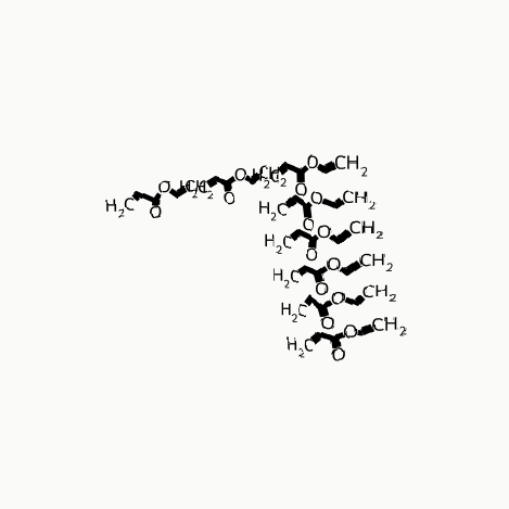 C=COC(=O)C=C.C=COC(=O)C=C.C=COC(=O)C=C.C=COC(=O)C=C.C=COC(=O)C=C.C=COC(=O)C=C.C=COC(=O)C=C.C=COC(=O)C=C